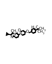 Cc1c(C2CC2)nc2ccc(-n3ccc(OCc4ccc(C(C)(C)C)cc4)cc3=O)cn12